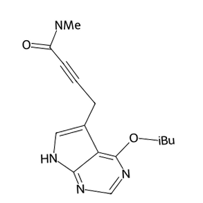 CCC(C)Oc1ncnc2[nH]cc(CC#CC(=O)NC)c12